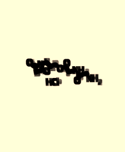 Cl.NCC(=O)NCC(=O)OCC1CN2C(=O)CC2O1